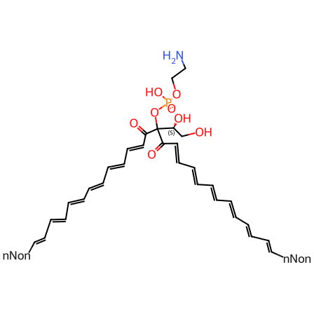 CCCCCCCCCC=CC=CC=CC=CC=CC=CC(=O)C(OP(=O)(O)OCCN)(C(=O)C=CC=CC=CC=CC=CC=CCCCCCCCCC)[C@@H](O)CO